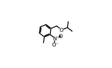 Cc1cccc(COC(C)C)c1[N+](=O)[O-]